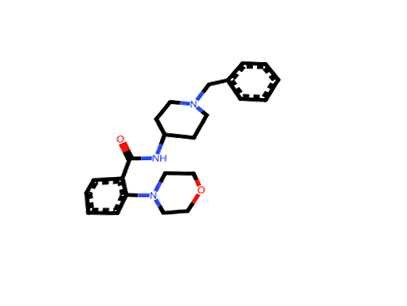 O=C(NC1CCN(Cc2ccccc2)CC1)c1ccccc1N1CCOCC1